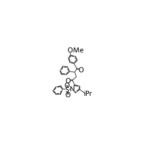 COc1ccc(C(=O)C(CC(=O)c2cc(C(C)C)cn2S(=O)(=O)c2ccccc2)c2ccccc2)cc1